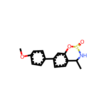 COc1ccc(-c2ccc3c(c2)OS(=O)NC3C)cc1